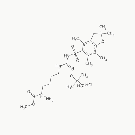 COC(=O)[C@@H](N)CCCCNC(=NOC(C)(C)C)NS(=O)(=O)c1c(C)c(C)c2c(c1C)CC(C)(C)O2.Cl